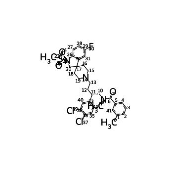 Cc1cccc(C(=O)N(C)C[C@@H](CCN2CCC3(CC2)CN(S(C)(=O)=O)c2ccc(F)cc23)c2ccc(Cl)c(Cl)c2)c1